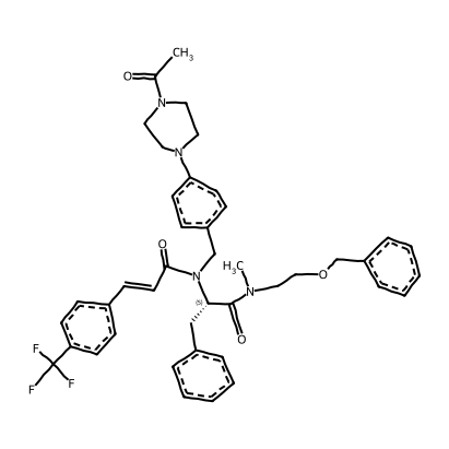 CC(=O)N1CCN(c2ccc(CN(C(=O)C=Cc3ccc(C(F)(F)F)cc3)[C@@H](Cc3ccccc3)C(=O)N(C)CCOCc3ccccc3)cc2)CC1